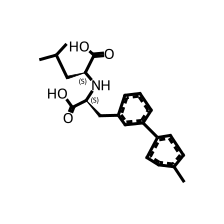 Cc1ccc(-c2cccc(C[C@H](N[C@@H](CC(C)C)C(=O)O)C(=O)O)c2)cc1